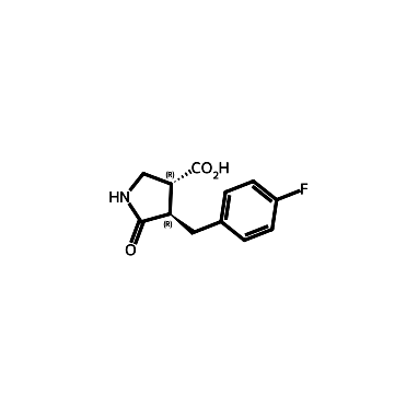 O=C(O)[C@H]1CNC(=O)[C@@H]1Cc1ccc(F)cc1